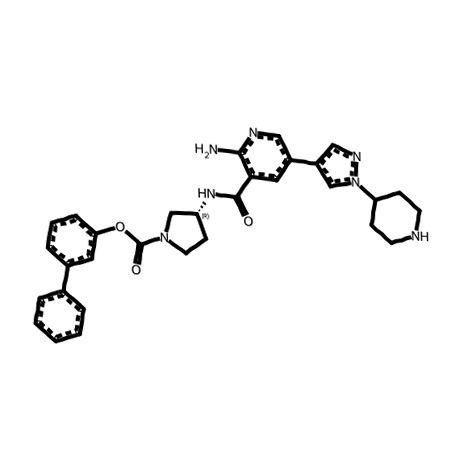 Nc1ncc(-c2cnn(C3CCNCC3)c2)cc1C(=O)N[C@@H]1CCN(C(=O)Oc2cccc(-c3ccccc3)c2)C1